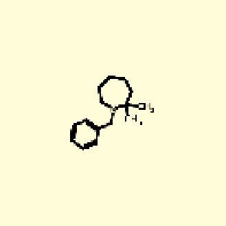 CC1(C)CCCCCN1Cc1ccccc1